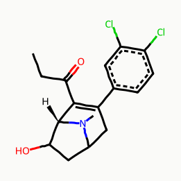 CCC(=O)C1=C(c2ccc(Cl)c(Cl)c2)CC2CC(O)[C@H]1N2C